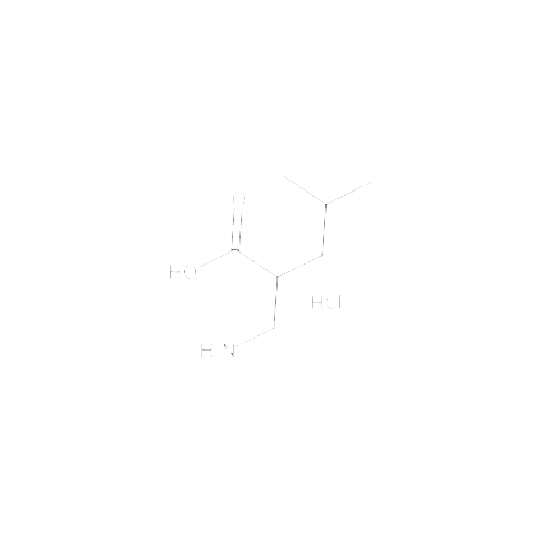 CC(C)CC(CN)C(=O)O.Cl